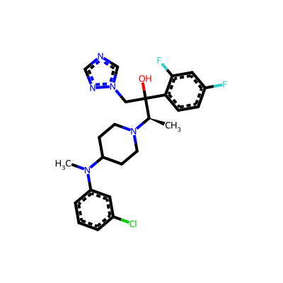 C[C@@H](N1CCC(N(C)c2cccc(Cl)c2)CC1)C(O)(Cn1cncn1)c1ccc(F)cc1F